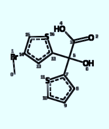 CBr.O=C(O)C(O)(c1cccs1)c1cccs1